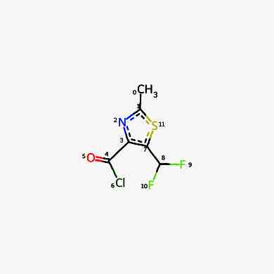 Cc1nc(C(=O)Cl)c(C(F)F)s1